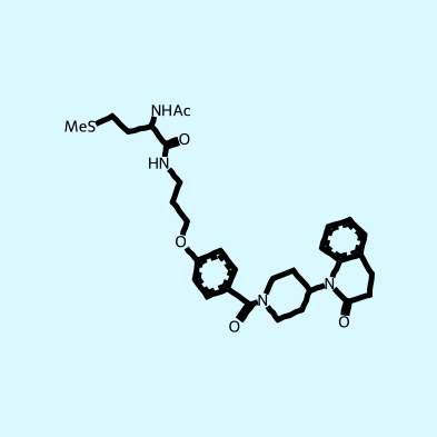 CSCCC(NC(C)=O)C(=O)NCCCOc1ccc(C(=O)N2CCC(N3C(=O)CCc4ccccc43)CC2)cc1